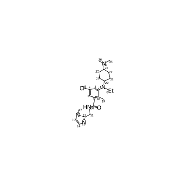 CCN(c1cc(Cl)cc(C(=O)NCc2nccn2C)c1C)C1CCC(N(C)C)CC1